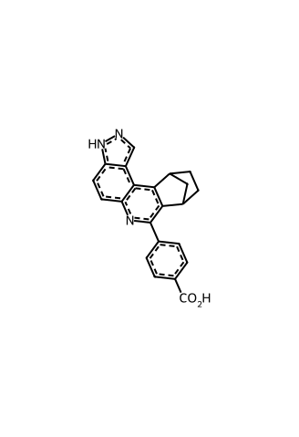 O=C(O)c1ccc(-c2nc3ccc4[nH]ncc4c3c3c2C2CCC3C2)cc1